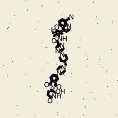 CC1(C)[C@H](NC(=O)c2cnc(N3CCC(CN4CCN(c5ccc6c(c5)C(=O)N(C5CCC(=O)NC5O)C6=O)CC4)CC3)cn2)C2(C)c3ccnc4c(C#N)ccc(c34)O[C@@H]12